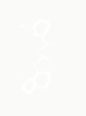 O=C(NC(=S)Nc1cccc2cc[nH]c12)c1cccc(Cl)c1